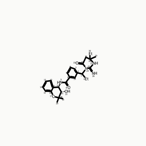 CCC(c1cccc(C(=O)N[C@@H]2c3ccccc3OC(C)(C)[C@H]2O)c1)N1C(=N)NC(C)(CC)CC1=O